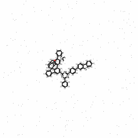 C[Si]1(C)c2ccccc2-c2ccc(-c3cc(-c4nc(-c5ccccc5)nc(-c5ccc(-c6ccc7c(c6)sc6ccccc67)cc5)n4)cc4c3C3(c5ccccc5-4)C4CC5CC(C4)CC3C5)cc21